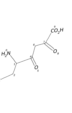 NC(CS)C(=O)CC(=O)C(=O)O